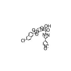 O=C(c1ncc(-c2cc[n+]([O-])cc2)cn1)C1C(O)CC2CN(S(=O)(=O)c3ccc4cc(Cl)ccc4c3)CC1N2